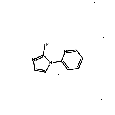 CCCc1nccn1-c1ccccn1